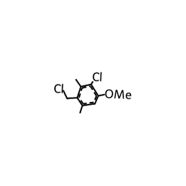 COc1cc(C)c(CCl)c(C)c1Cl